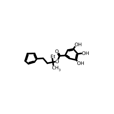 CCC(C)(CCc1ccccc1)OC(=O)c1cc(O)c(O)c(O)c1